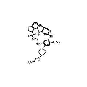 COc1cc(N2CCC(NCCN)CC2)c(C)cc1Nc1ncc(Br)c(Nc2cccc3c2N(S(C)(=O)=O)CC3)n1